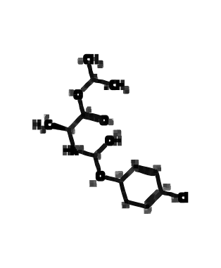 CC(C)OC(=O)[C@H](C)NC(O)OC1C=CC(Cl)=CC1